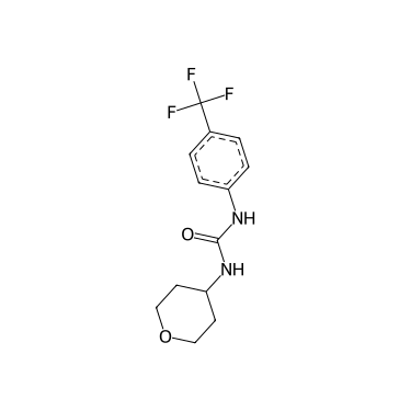 O=C(Nc1ccc(C(F)(F)F)cc1)NC1CCOCC1